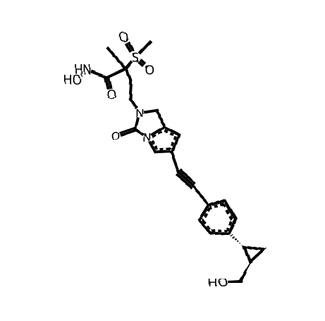 CC(CCN1Cc2cc(C#Cc3ccc([C@@H]4C[C@H]4CO)cc3)cn2C1=O)(C(=O)NO)S(C)(=O)=O